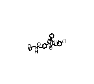 O=C(Cc1ccc(NC(=O)C(=Cc2ccc(Cl)cc2)NC(=O)c2ccccc2)cc1)NCc1ccco1